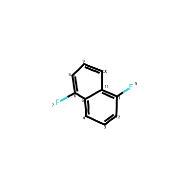 Fc1[c]ccc2c(F)[c]ccc12